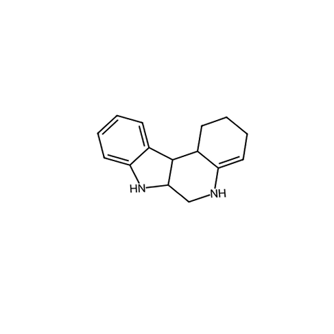 C1=C2NCC3Nc4ccccc4C3C2CCC1